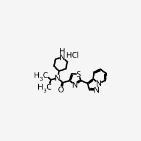 CC(C)N(C(=O)c1csc(-c2cnn3ccccc23)n1)C1CCNCC1.Cl